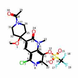 COC1(c2cc3c(Cl)nc(C)c(OS(=O)(=O)C(F)(F)F)c3n(C)c2=O)CCN(C(C)=O)CC1